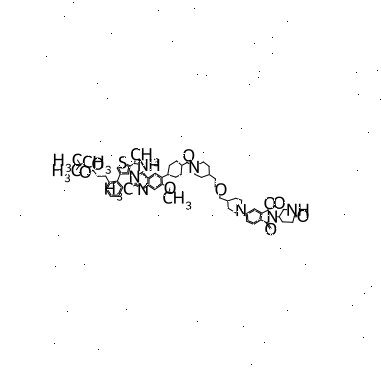 COc1cc2nc(C)nc(N[C@H](C)c3cc(-c4ccccc4CCC(=O)OC(C)(C)C)cs3)c2cc1C1CCC(C(=O)N2CCC(CCOCC3CCN(c4ccc5c(c4)C(=O)N(C4CCC(=O)NC4=O)C5=O)CC3)CC2)CC1